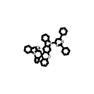 c1ccc(-c2cc(-n3c4ccccc4c4cc5c(cc43)Oc3ccccc3C53c4ccccc4-n4c5ccccc5c5cccc3c54)nc(-c3ccccc3)n2)cc1